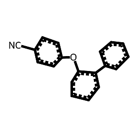 N#Cc1ccc(Oc2ccccc2-c2ccccc2)cc1